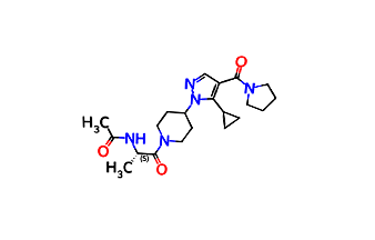 CC(=O)N[C@@H](C)C(=O)N1CCC(n2ncc(C(=O)N3CCCC3)c2C2CC2)CC1